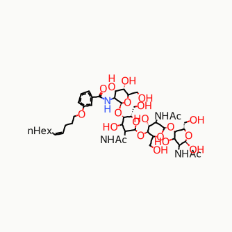 CCCCCC/C=C\CCCOc1cccc(C(=O)NC2[C@H](O[C@H]3C(O)C(NC(C)=O)[C@H](O[C@@H]4C(CO)O[C@@H](O[C@H]5C(O)C(NC(C)=O)[C@H](O)O[C@H]5CO)C(NC(C)=O)[C@H]4O)O[C@H]3CO)OC(CO)[C@@H](O)[C@@H]2O)c1